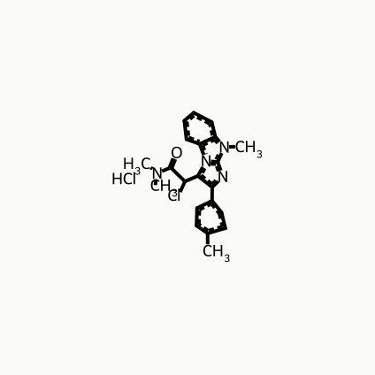 Cc1ccc(-c2nc3n(C)c4ccccc4n3c2C(Cl)C(=O)N(C)C)cc1.Cl